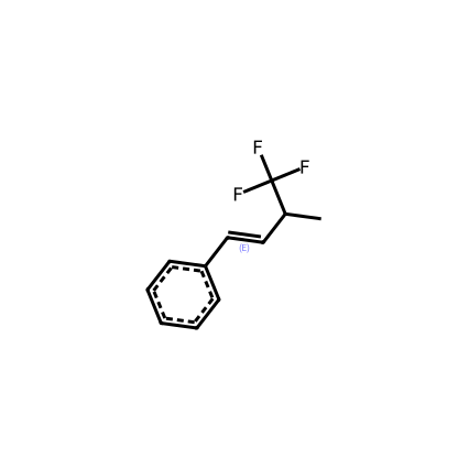 CC(/C=C/c1ccccc1)C(F)(F)F